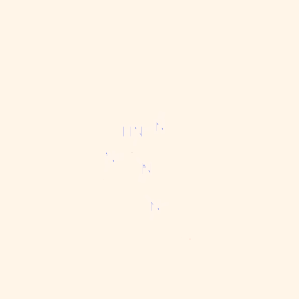 CCc1nc(N/N=C/c2cccc(C)c2)nc(N2CCOCC2)c1CC